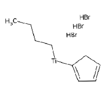 Br.Br.Br.CCC[CH2][Ti][C]1=CC=CC1